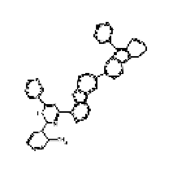 CC1C=CC=CC1C1N=C(c2cccc3c2sc2ccc(-c4ccc5c6c(n(-c7ccccc7)c5c4)C=CCC6)cc23)N=C(c2ccccc2)N1